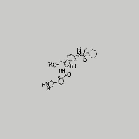 CC1(C(=O)Nc2ccc3c(CCC#N)c(NC(=O)c4ccc(-c5cn[nH]c5)s4)[nH]c3c2)CCCCC1